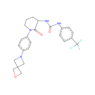 O=C(Nc1ccc(C(F)(F)F)cc1)NC1CCCN(c2ccc(N3CC4(COC4)C3)cc2)C1=O